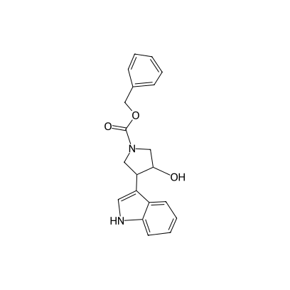 O=C(OCc1ccccc1)N1CC(O)C(c2c[nH]c3ccccc23)C1